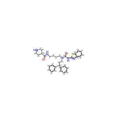 O=C(NCCCCN(CCC(c1ccccc1)c1ccccc1)C(=O)Nc1nc2ccccc2s1)C1CCNCC1